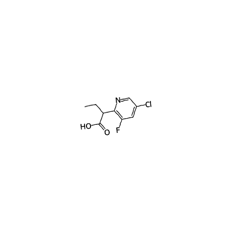 CCC(C(=O)O)c1ncc(Cl)cc1F